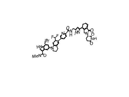 CNC(=O)c1c[nH]c2c(C(C)C)cc(N3CCCc4cc(-c5ccc(C(=O)NCc6cc(-c7cccc8c7CN(C7CCC(=O)NC7=O)C8=O)nn6C)nc5)c(C(F)F)cc43)cc12